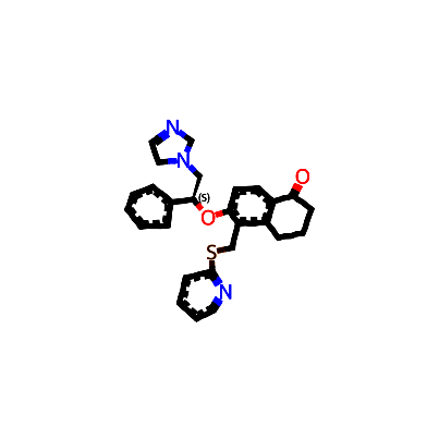 O=C1CCCc2c1ccc(O[C@H](CN1CC=NC1)c1ccccc1)c2CSc1ccccn1